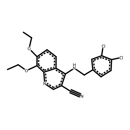 CCOc1ccc2c(NCc3ccc(Cl)c(Cl)c3)c(C#N)cnc2c1OCC